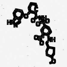 COC1CCC(CNc2ccc(S(=O)(=O)NC(=O)c3ccccc3Oc3cccc4[nH]ncc34)cc2[N+](=O)[O-])CC1